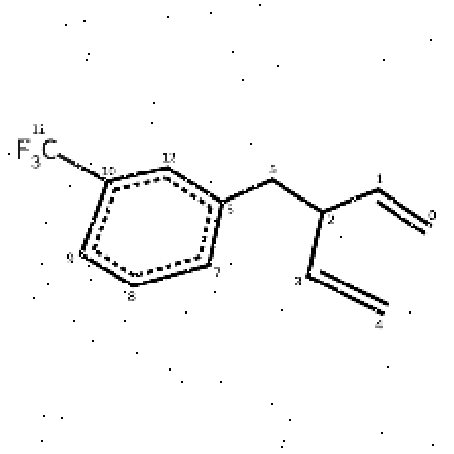 C=CC(C=C)Cc1cccc(C(F)(F)F)c1